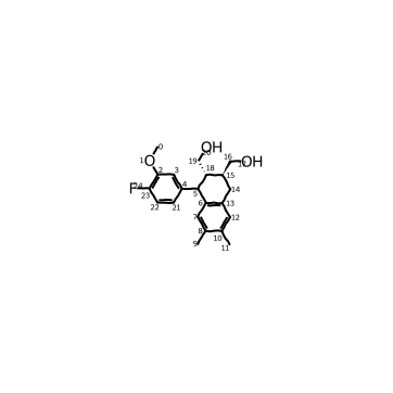 COc1cc(C2c3cc(C)c(C)cc3C[C@H](CO)[C@H]2CO)ccc1F